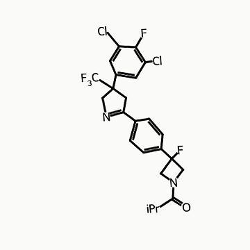 CC(C)C(=O)N1CC(F)(c2ccc(C3=NCC(c4cc(Cl)c(F)c(Cl)c4)(C(F)(F)F)C3)cc2)C1